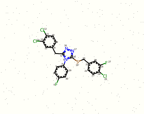 Fc1ccc(-n2c(Cc3ccc(Cl)c(Cl)c3)nnc2SCc2ccc(Cl)c(F)c2)cc1